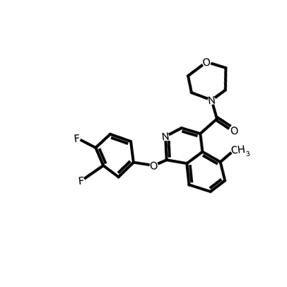 Cc1cccc2c(Oc3ccc(F)c(F)c3)ncc(C(=O)N3CCOCC3)c12